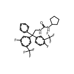 O=C(NCC(c1ccccc1)(c1cc(F)cc(C(F)(F)F)c1)c1ccc(F)c(C(F)(F)F)c1)NC1CCCC1